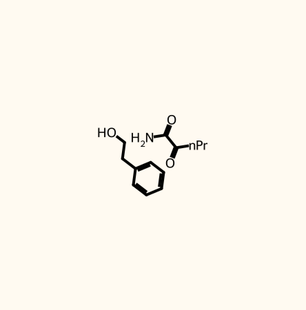 CCCC(=O)C(N)=O.OCCc1ccccc1